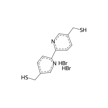 Br.Br.SCc1ccc(-c2ccc(CS)cn2)nc1